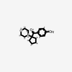 O=C(c1ccc(O)cc1)C1(N2CCOCC2)CCCC1